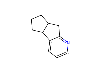 [c]1ccc2c(n1)CC1CCCC21